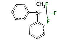 C[Si](c1ccccc1)(c1ccccc1)C(F)(F)F